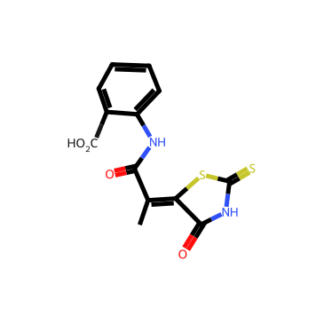 CC(C(=O)Nc1ccccc1C(=O)O)=C1SC(=S)NC1=O